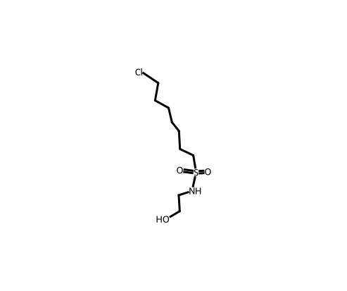 O=S(=O)(CCCCCCCCl)NCCO